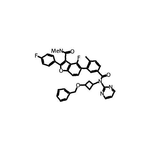 CNC(=O)c1c(-c2ccc(F)cc2)oc2ccc(-c3cc(C(=O)N(c4ncccn4)C4CC(OCc5ccccc5)C4)ccc3C)c(F)c12